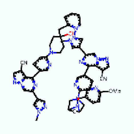 COc1ccc(CN2C3CC2CN(c2ccc(-c4nc(-c5cn(C)[n+](-[n+]6ccccc6CC6(O)CCN(c7ccc(-c8nc(-c9cnn(C)c9)cn9ncc(C#N)c89)cn7)CC6)c5)cn5ncc(C#N)c45)cn2)C3)cn1